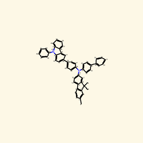 Cc1ccc2c(c1)C(C)(C)c1cc(N(c3ccc(-c4ccccc4)cc3)c3ccc(-c4ccc5c(c4)c4ccccc4n5-c4ccccc4)cc3)ccc1-2